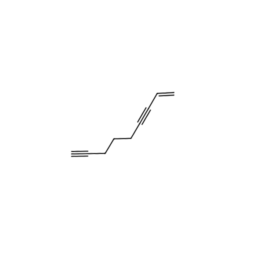 C#CCCCC#CC=C